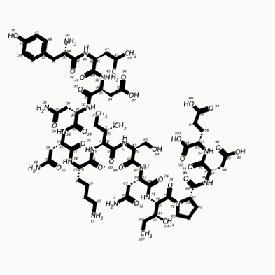 CC[C@H](C)[C@H](NC(=O)[C@H](CCCCN)NC(=O)[C@H](CC(N)=O)NC(=O)[C@H](CC(N)=O)NC(=O)[C@H](CC(=O)O)NC(=O)[C@H](CC(C)C)NC(=O)[C@@H](N)Cc1ccc(O)cc1)C(=O)N[C@@H](CO)C(=O)N[C@@H](CC(N)=O)C(=O)N[C@H](C(=O)N1CCC[C@H]1C(=O)N[C@@H](CC(=O)O)C(=O)N[C@@H](CCC(=O)O)C(=O)O)[C@@H](C)CC